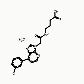 O.O=C(O)CCCNC(=O)Cn1cnc2c(-c3cccc(Cl)c3)ccnc21